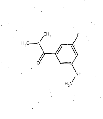 CN(C)C(=O)c1cc(F)cc(NN)c1